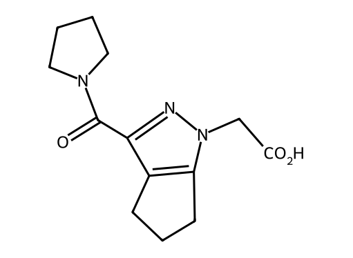 O=C(O)Cn1nc(C(=O)N2CCCC2)c2c1CCC2